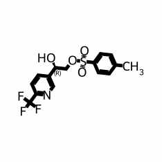 Cc1ccc(S(=O)(=O)OC[C@H](O)c2ccc(C(F)(F)F)nc2)cc1